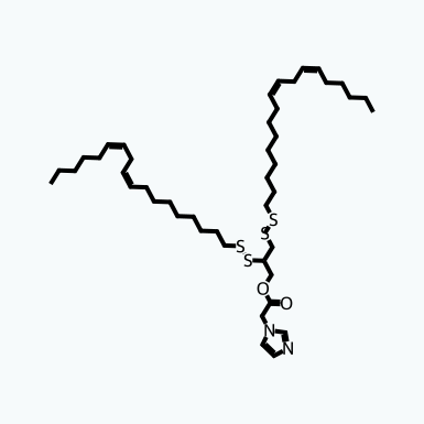 CCCCC/C=C\C/C=C\CCCCCCCCSSCC(COC(=O)Cn1ccnc1)SSCCCCCCCC/C=C\C/C=C\CCCCC